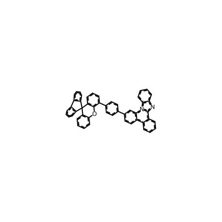 c1ccc2c(c1)Oc1c(-c3ccc(-c4ccc5c6ccccc6c6nc7ccccc7n6c5c4)cc3)cccc1C21c2ccccc2-c2ccccc21